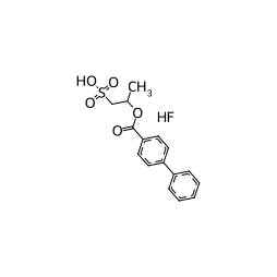 CC(CS(=O)(=O)O)OC(=O)c1ccc(-c2ccccc2)cc1.F